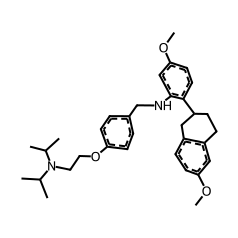 COc1ccc2c(c1)CCC(c1ccc(OC)cc1NCc1ccc(OCCN(C(C)C)C(C)C)cc1)C2